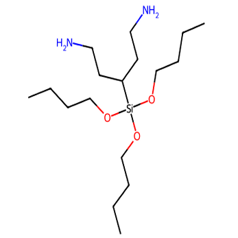 CCCCO[Si](OCCCC)(OCCCC)C(CCN)CCN